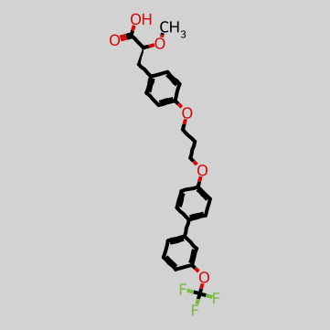 CO[C@@H](Cc1ccc(OCCCOc2ccc(-c3cccc(OC(F)(F)F)c3)cc2)cc1)C(=O)O